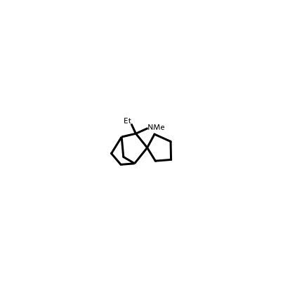 CCC1(NC)C2CCC(C2)C12CCCC2